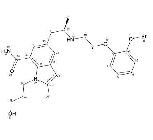 CCOc1ccccc1OCCN[C@H](C)Cc1cc(C(N)=O)c2c(c1)cc(C)n2CCCO